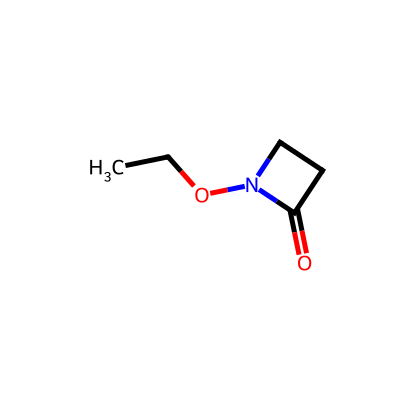 CCON1CCC1=O